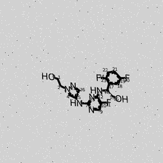 OCCn1cc(Nc2ncc(F)c(N[C@H](CO)c3cc(F)ccc3F)n2)cn1